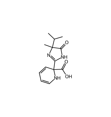 CC(C)C1(C)N=C(C2(C(=O)O)C=CC=CN2)NC1=O